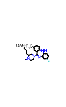 COCCCC1CN(C2=Nc3cc(F)ccc3Nc3ccc(C(F)(F)F)cc32)CCN1C